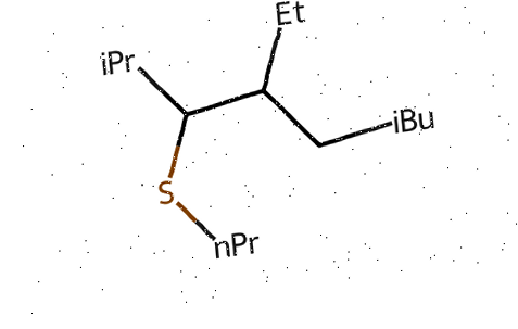 CCCSC(C(C)C)C(CC)CC(C)CC